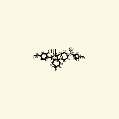 CC(NC(=O)c1ccc(CF)cc1Cl)C1(N2CCN([S+]([O-])c3cn(C)nn3)CC2)CCC(F)(F)CC1